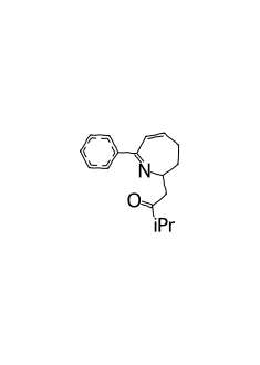 CC(C)C(=O)CC1CCC=CC(c2ccccc2)=N1